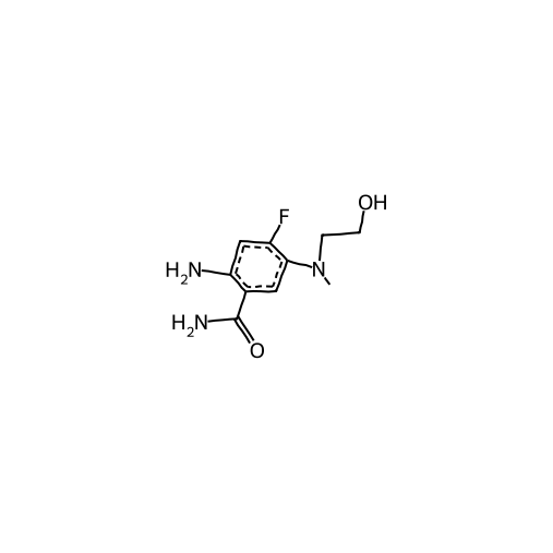 CN(CCO)c1cc(C(N)=O)c(N)cc1F